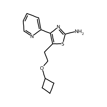 Nc1nc(-c2ccccn2)c(CCOC2CCC2)s1